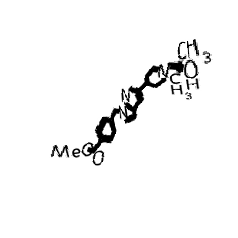 COC(=O)c1ccc(Cn2ccc3cc(C4CCN(CC(C)(C)O)CC4)cnc32)cc1